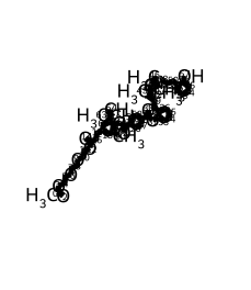 CC(=O)OCCOCCOCCOC(=O)CCc1cc(C)c(OC(=O)c2ccc(C(=O)Oc3ccccc3CCC[Si](C)(C)O[Si](C)(C)CCCc3ccccc3O)cc2)c(C(C)(C)C)c1